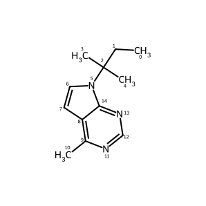 CCC(C)(C)n1ccc2c(C)ncnc21